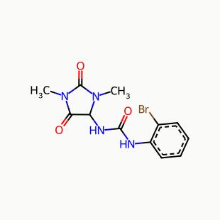 CN1C(=O)C(NC(=O)Nc2ccccc2Br)N(C)C1=O